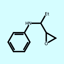 CCC(Nc1ccccc1)C1CO1